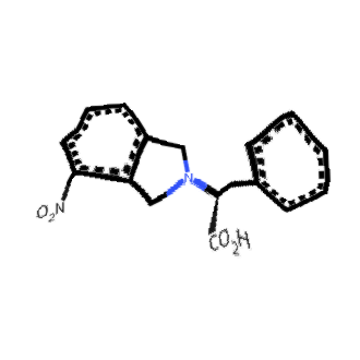 O=C(O)[C@H](c1ccccc1)N1Cc2cccc([N+](=O)[O-])c2C1